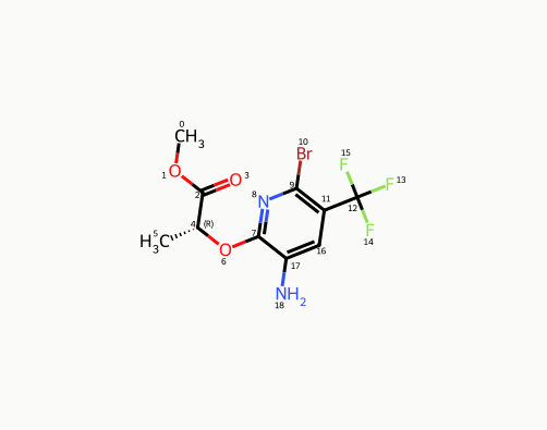 COC(=O)[C@@H](C)Oc1nc(Br)c(C(F)(F)F)cc1N